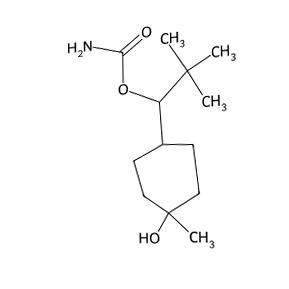 CC1(O)CCC(C(OC(N)=O)C(C)(C)C)CC1